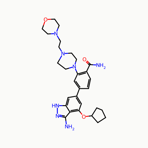 NC(=O)c1ccc(-c2cc(OC3CCCC3)c3c(N)n[nH]c3c2)cc1N1CCN(CCN2CCOCC2)CC1